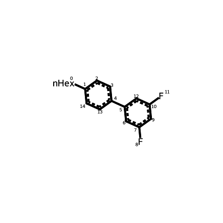 CCCCCCc1ccc(-c2cc(F)cc(F)c2)cc1